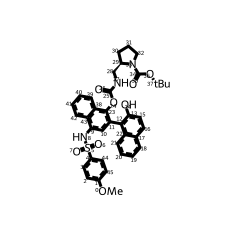 COc1ccc(S(=O)(=O)Nc2cc(-c3c(O)ccc4ccccc34)c(OC(=O)NC[C@H]3CCCN3C(=O)OC(C)(C)C)c3ccccc23)cc1